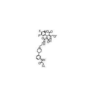 COCC(=O)Nc1cccc(C2CCN(CCCNC(=O)N3C(=O)NC(COC)=C(C(=O)O)C3c3ccc(F)c(F)c3)CC2)c1